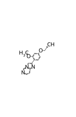 C#CCOc1ccc(-c2cn3cnccc3n2)c(OC)c1